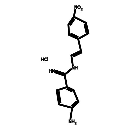 Cl.N=C(N/C=C/c1ccc([N+](=O)[O-])cc1)c1ccc(N)cc1